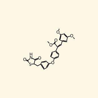 COC(=O)C(=Cc1cc(OC)cc(OC)c1)c1ccc(Oc2ccc(CC3SC(=O)NC3=O)cc2)cc1